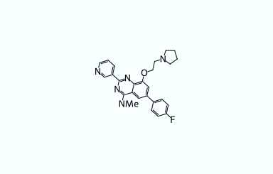 CNc1nc(-c2cccnc2)nc2c(OCCN3CCCC3)cc(-c3ccc(F)cc3)cc12